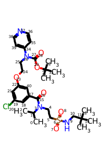 CC(C)N(CCS(=O)(=O)NCC(C)(C)C)C(=O)c1cc(Cl)cc(OCCN(C(=O)OC(C)(C)C)c2ccncc2)c1